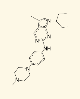 CCC(CC)n1cc(C)c2cnc(Nc3ccc(N4CCN(C)CC4)cc3)nc21